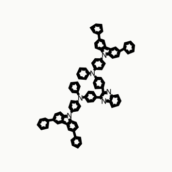 c1ccc(-c2ccc3c(c2)c2cc(-c4ccccc4)ccc2n3-c2ccc(N(c3ccccc3)c3ccc(-c4nc5ccccc5nc4-c4ccc(N(c5ccccc5)c5ccc(-n6c7ccc(-c8ccccc8)cc7c7cc(-c8ccccc8)ccc76)cc5)cc4)cc3)cc2)cc1